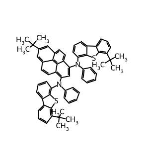 CC(C)(C)c1cc2ccc3c(N(c4ccccc4)c4cccc5c4sc4c(C(C)(C)C)cccc45)cc(N(c4ccccc4)c4cccc5c4sc4c(C(C)(C)C)cccc45)c4ccc(c1)c2c34